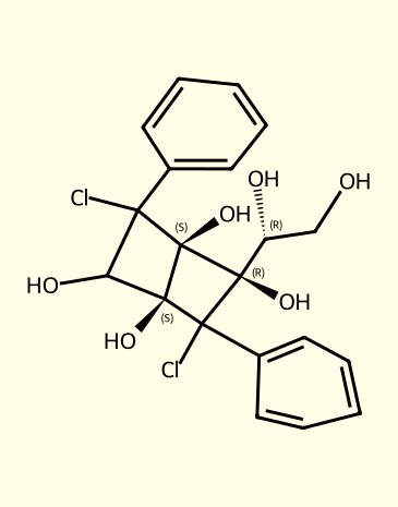 OC[C@@H](O)[C@]1(O)C(Cl)(c2ccccc2)[C@]2(O)C(O)C(Cl)(c3ccccc3)[C@@]21O